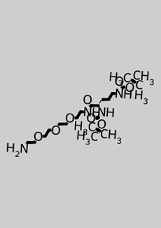 CC(C)(C)OC(=O)NCCC[C@H](NC(=O)OC(C)(C)C)C(=O)NCCOCCOCCOCCN